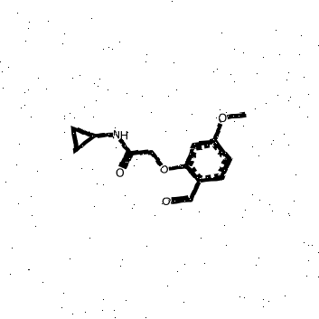 COc1ccc(C=O)c(OCC(=O)NC2CC2)c1